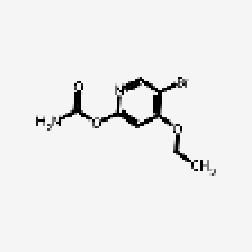 CCOc1cc(OC(N)=O)ncc1Br